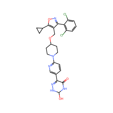 O=C1NC(O)NN=C1c1ccc(N2CCC(OCc3c(-c4c(Cl)cccc4Cl)noc3C3CC3)CC2)nc1